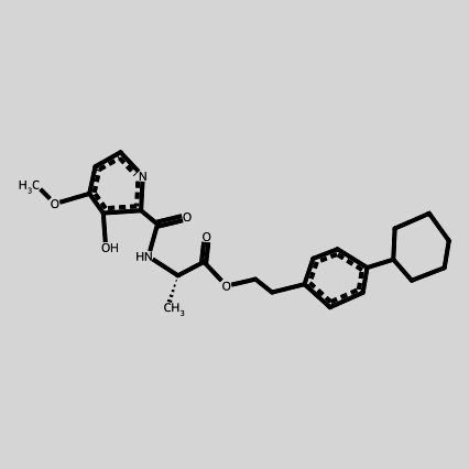 COc1ccnc(C(=O)N[C@@H](C)C(=O)OCCc2ccc(C3CCCCC3)cc2)c1O